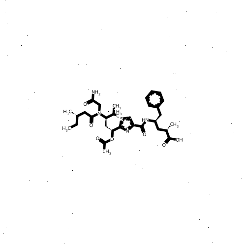 CC[C@H](C)CC(=O)N(CC(N)=O)[C@H](C[C@@H](OC(C)=O)c1nc(C(=O)N[C@@H](Cc2ccccc2)C[C@H](C)C(=O)O)cs1)C(C)C